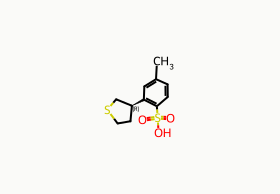 Cc1ccc(S(=O)(=O)O)c([C@H]2CCSC2)c1